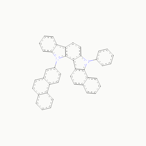 c1ccc(-n2c3ccc4c5ccccc5n(-c5ccc6c(ccc7ccccc76)c5)c4c3c3ccc4ccccc4c32)cc1